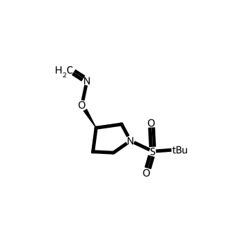 C=NO[C@@H]1CCN(S(=O)(=O)C(C)(C)C)C1